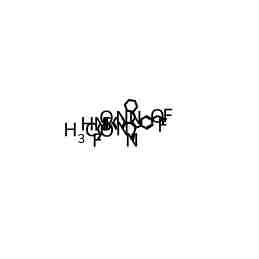 C[C@@H](CF)NS(=O)(=O)c1cnc(-c2c(C#N)c3ccc(OC(F)F)cc3n2C2CCCCC2)nc1